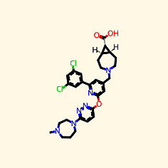 CN1CCCN(c2ccc(Oc3cc(CN4CC[C@@H]5[C@H](CC4)[C@H]5C(=O)O)cc(-c4cc(Cl)cc(Cl)c4)n3)nn2)CC1